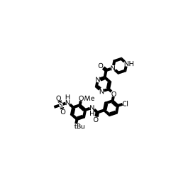 COc1c(NC(=O)c2ccc(Cl)c(Oc3cc(C(=O)N4CCNCC4)ncn3)c2)cc(C(C)(C)C)cc1NS(C)(=O)=O